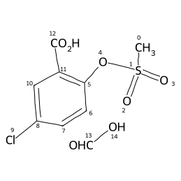 CS(=O)(=O)Oc1ccc(Cl)cc1C(=O)O.O=CO